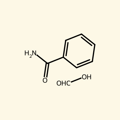 NC(=O)c1ccccc1.O=CO